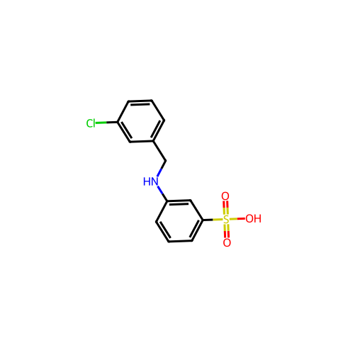 O=S(=O)(O)c1cccc(NCc2cccc(Cl)c2)c1